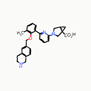 Cc1cccc(-c2cccc(N3CC4C[C@]4(C(=O)O)C3)n2)c1OCc1ccc2c(c1)CCNC2